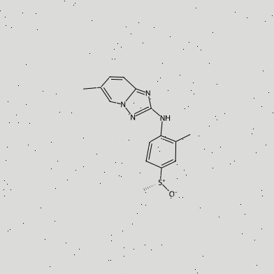 Cc1ccc2nc(Nc3ccc([S@@+](C)[O-])cc3C)nn2c1